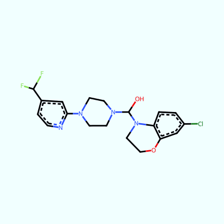 OC(N1CCN(c2cc(C(F)F)ccn2)CC1)N1CCOc2cc(Cl)ccc21